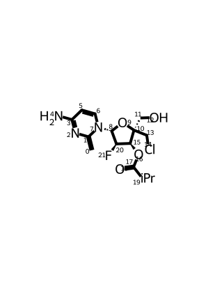 C=C1N=C(N)C=CN1[C@@H]1O[C@@](CO)(CCl)[C@@H](OC(=O)C(C)C)[C@H]1F